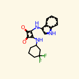 O=c1c(Nc2c[nH]c3ccccc23)c(NC2CCCC(F)(F)C2)c1=O